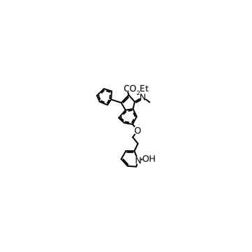 CCOC(=O)C1=C(c2ccccc2)c2ccc(OCCC3=CC=CCN3O)cc2/C1=N\C